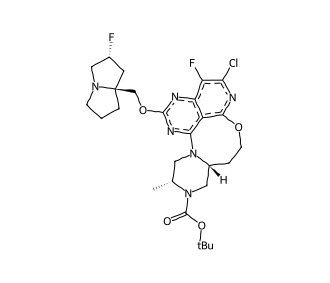 C[C@@H]1CN2c3nc(OC[C@@]45CCCN4C[C@H](F)C5)nc4c(F)c(Cl)nc(c34)OCC[C@@H]2CN1C(=O)OC(C)(C)C